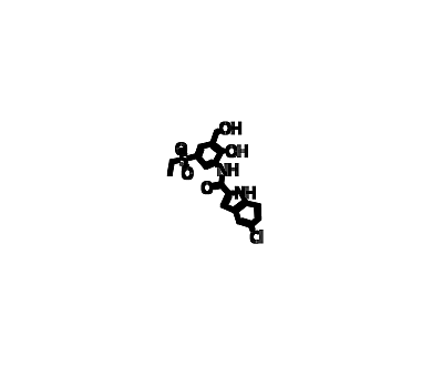 CCS(=O)(=O)c1cc(CO)c(O)c(NC(=O)c2cc3cc(Cl)ccc3[nH]2)c1